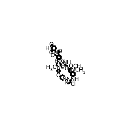 CNC(=O)COc1cc2cc(Nc3nc(N4CCC(OC5CC(N6[C@H](C)CN(c7ccc8c(c7)C(=O)N(C7CCC(=O)NC7=O)C8=O)C[C@H]6C)C5)CC4)ncc3Cl)ccc2n(C(C)C)c1=O